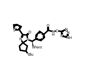 CCCCC[C@H](c1ccc(C(=O)NCc2nn[nH]n2)cc1)N1C(=O)C(c2cccs2)=NC12CCC(C(C)(C)C)C2